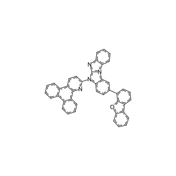 c1ccc2c(c1)nc1n(-c3ccc4c5ccccc5c5ccccc5c4n3)c3ccc(-c4cccc5c4oc4ccccc45)cc3n21